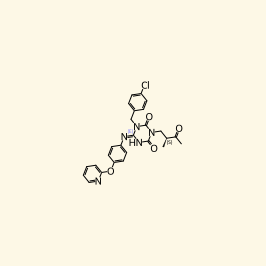 CC(=O)[C@@H](C)Cn1c(=O)[nH]/c(=N\c2ccc(Oc3ccccn3)cc2)n(Cc2ccc(Cl)cc2)c1=O